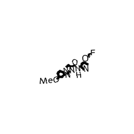 COc1ccc2c(c1)nc1nc(C(=O)Nc3cncc(OCCF)c3)ccn12